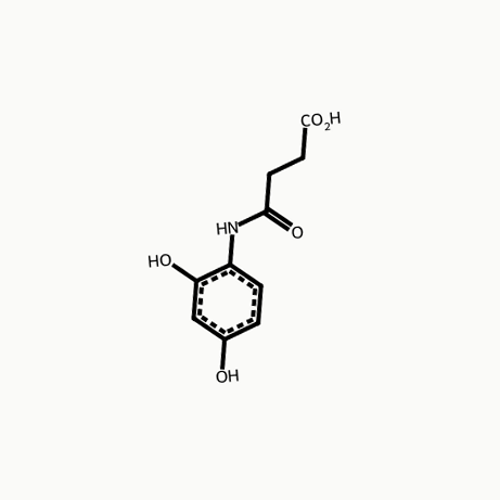 O=C(O)CCC(=O)Nc1ccc(O)cc1O